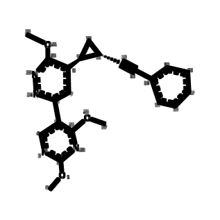 COc1ncc(-c2cc([C@H]3C[C@@H]3C#Cc3ccccc3)c(OC)nn2)c(OC)n1